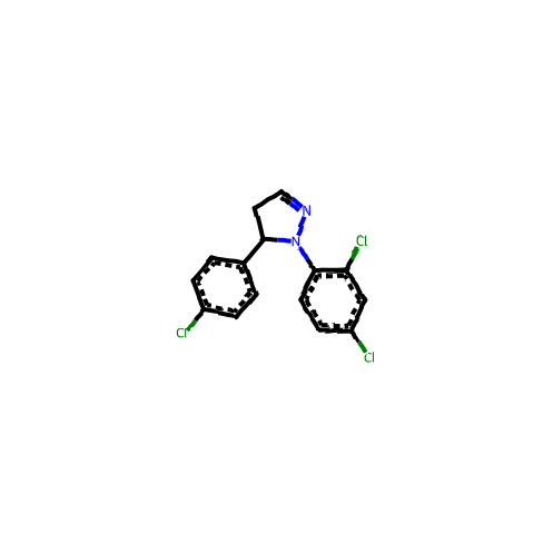 Clc1ccc(C2CC=NN2c2ccc(Cl)cc2Cl)cc1